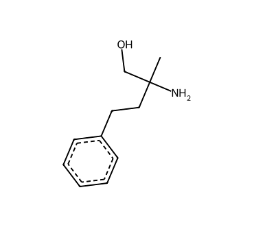 CC(N)(CO)CCc1ccccc1